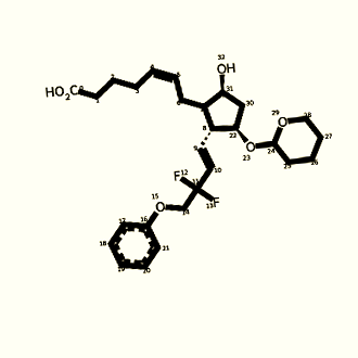 O=C(O)CCC/C=C\CC1[C@@H](/C=C/C(F)(F)COc2ccccc2)[C@H](OC2CCCCO2)C[C@@H]1O